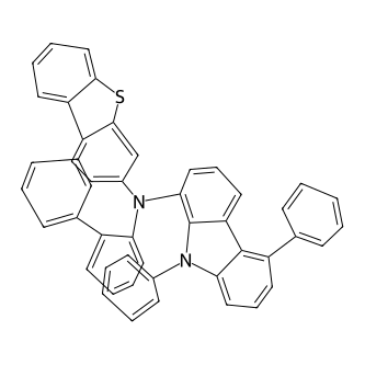 c1ccc(-c2ccccc2N(c2ccc3c(c2)sc2ccccc23)c2cccc3c4c(-c5ccccc5)cccc4n(-c4ccccc4)c23)cc1